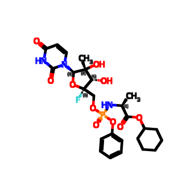 C[C@H](NP(=O)(OC[C@@]1(F)O[C@@H](n2ccc(=O)[nH]c2=O)[C@](C)(O)[C@@H]1O)Oc1ccccc1)C(=O)OC1CCCCC1